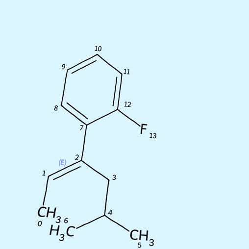 C/C=C(\CC(C)C)c1ccccc1F